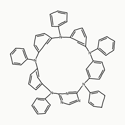 C1=CC(N2c3cccc(c3)N(c3ccccc3)c3cccc(c3)N(c3ccccc3)c3cccc(c3)N(c3ccccc3)c3cccc(c3)N(c3ccccc3)c3ncnc2n3)=CCC1